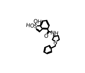 O=C(N[C@H]1CCN(Cc2ccccc2)C1)c1cccc2c1C=CS2(O)O